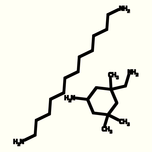 CC1(C)CC(N)CC(C)(CN)C1.NCCCCCCCCCCCCN